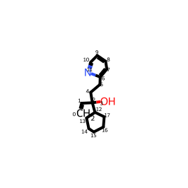 C=CC(O)(CCc1ccccn1)C1CCCCC1